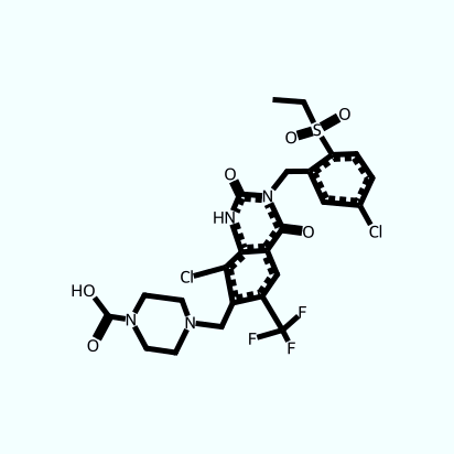 CCS(=O)(=O)c1ccc(Cl)cc1Cn1c(=O)[nH]c2c(Cl)c(CN3CCN(C(=O)O)CC3)c(C(F)(F)F)cc2c1=O